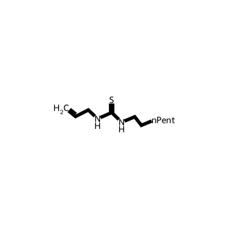 C=CCNC(=S)NCCCCCCC